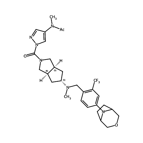 CC(=O)N(C)c1cnn(C(=O)N2C[C@H]3C[C@H](N(C)Cc4ccc(N5C6CCC5COC6)cc4C(F)(F)F)C[C@H]3C2)c1